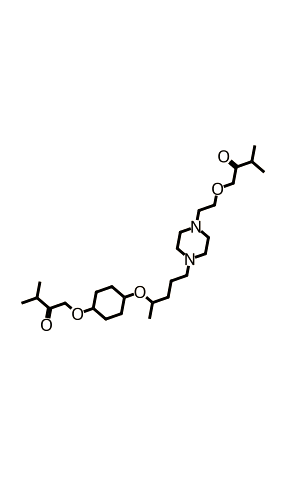 CC(CCCN1CCN(CCOCC(=O)C(C)C)CC1)OC1CCC(OCC(=O)C(C)C)CC1